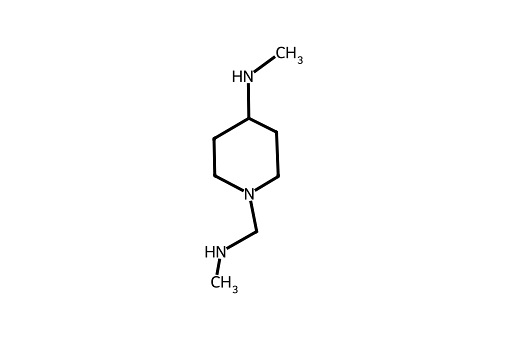 CNCN1CCC(NC)CC1